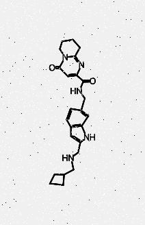 O=C(NCc1ccc2cc(CNCC3CCC3)[nH]c2c1)c1cc(=O)n2c(n1)CCCC2